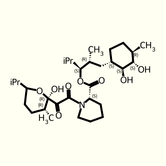 CC(C)C1CC[C@@H](C)[C@](O)(C(=O)C(=O)N2CCCC[C@H]2C(=O)O[C@@H](C(C)C)[C@H](C)C[C@@H]2CC[C@@H](C)[C@H](O)[C@H]2O)O1